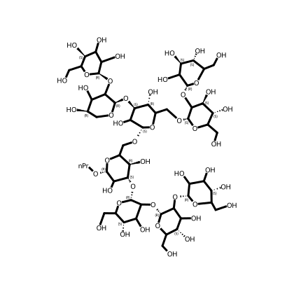 CCCO[C@@H]1OC(CO[C@H]2OC(CO[C@H]3OC(CO)[C@@H](O)[C@H](O)C3O[C@H]3OC(CO)[C@@H](O)[C@H](O)C3O)[C@@H](O)[C@H](O[C@H]3OC[C@@H](O)C(O)C3O[C@H]3OC(CO)[C@@H](O)C(O)C3O)C2O)[C@@H](O)[C@H](O[C@H]2OC(CO)[C@@H](O)C(O)C2O[C@H]2OC(CO)[C@@H](O)C(O)C2O[C@H]2OC(CO)[C@@H](O)C(O)C2O)C1O